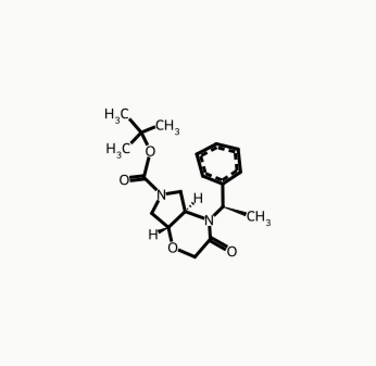 C[C@H](c1ccccc1)N1C(=O)CO[C@@H]2CN(C(=O)OC(C)(C)C)C[C@H]21